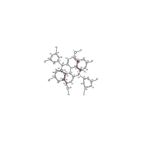 COC1=N[C@@H](OC)C(c2c(P(c3cc(C)cc(C)c3)c3cc(C)cc(C)c3)cc(OC)nc2OC)C(P(c2cc(C)cc(C)c2)c2cc(C)cc(C)c2)=C1